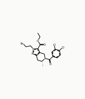 CCOC(=O)c1c2c(nn1CCBr)C[C@@H](C)N(C(=O)c1ccc(Cl)c(Cl)c1)C2